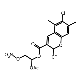 CC(=O)OC(CO[N+](=O)[O-])OC(=O)C1=Cc2c(cc(C)c(Cl)c2C)OC1C(F)(F)F